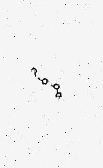 Cc1ncc(-c2cccc(C(=O)Nc3ccc(COCc4ccccn4)c(F)c3)c2)cc1C(=O)O